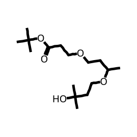 CC(CCOCCC(=O)OC(C)(C)C)OCCC(C)(C)O